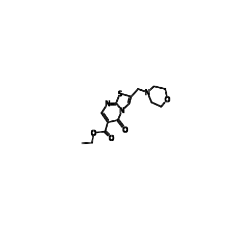 CCOC(=O)c1cnc2sc(CN3CCOCC3)cn2c1=O